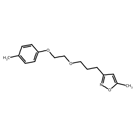 Cc1ccc(OCCOCCCc2cc(C)on2)cc1